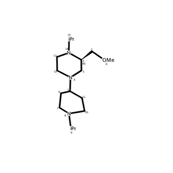 COC[C@H]1CN(C2CCN(C(C)C)CC2)CCN1C(C)C